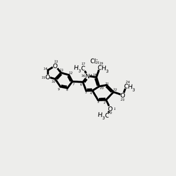 COc1cc2cc(-c3ccc4c(c3)OCO4)[n+](C)c(C)c2cc1OC.[Cl-]